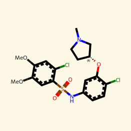 COc1cc(Cl)c(S(=O)(=O)Nc2ccc(Cl)c(O[C@@H]3CCN(C)C3)c2)cc1OC